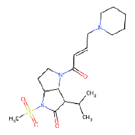 CC(C)C1C(=O)N(S(C)(=O)=O)C2CCN(C(=O)C=CCN3CCCCC3)C12